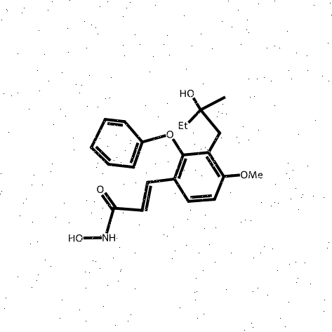 CCC(C)(O)Cc1c(OC)ccc(/C=C/C(=O)NO)c1Oc1ccccc1